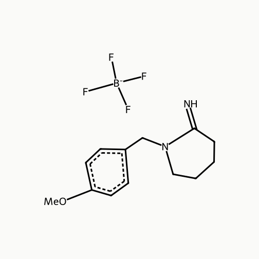 COc1ccc(CN2CCCCC2=N)cc1.F[B-](F)(F)F